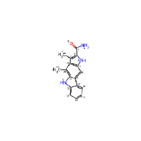 Cc1c(C(N)=O)[nH]c2cc3c([nH]c4ccccc43)c(C)c12